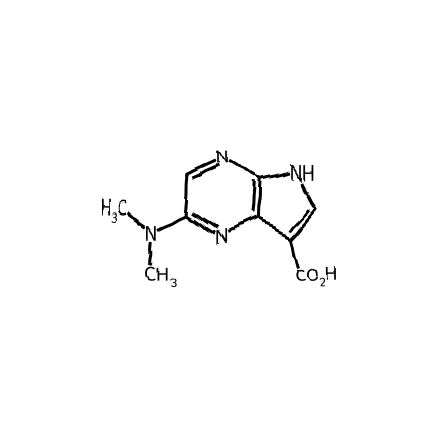 CN(C)c1cnc2[nH]cc(C(=O)O)c2n1